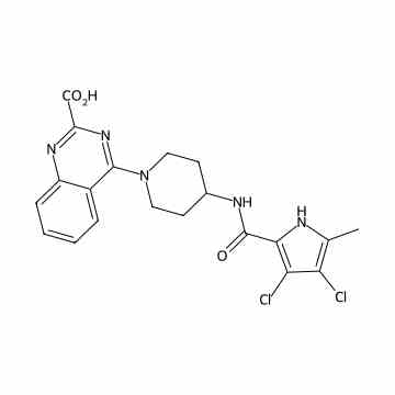 Cc1[nH]c(C(=O)NC2CCN(c3nc(C(=O)O)nc4ccccc34)CC2)c(Cl)c1Cl